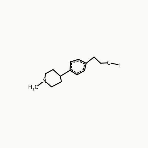 CN1CCC(c2ccc(CCCI)cc2)CC1